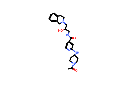 CC(=O)N1CCC(Nc2cc(C(=O)NC[C@@H](O)CN3CCc4ccccc4C3)ccn2)CC1